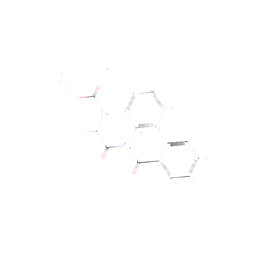 CC(NC(=O)OC(C)(C)C)C(=O)N(C(=O)c1ccccc1)c1ccccc1